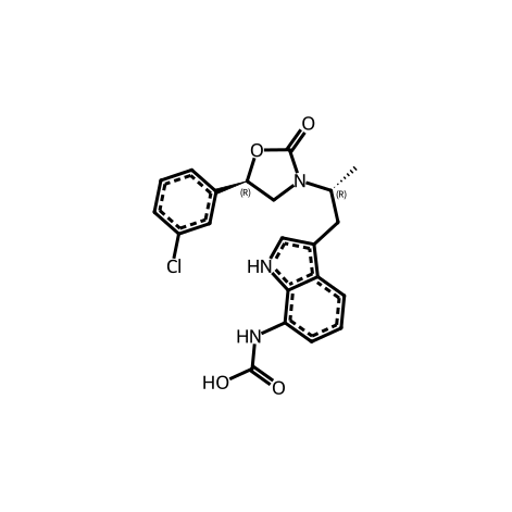 C[C@H](Cc1c[nH]c2c(NC(=O)O)cccc12)N1C[C@@H](c2cccc(Cl)c2)OC1=O